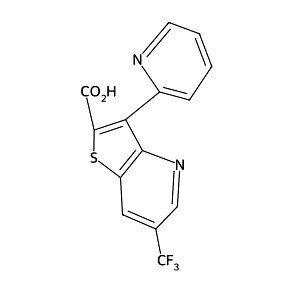 O=C(O)c1sc2cc(C(F)(F)F)cnc2c1-c1ccccn1